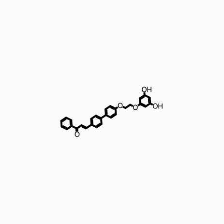 O=C(/C=C/c1ccc(-c2ccc(OCCOc3cc(O)cc(O)c3)cc2)cc1)c1ccccc1